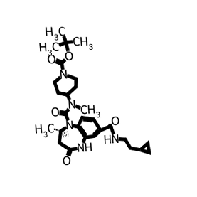 C[C@H]1CC(=O)Nc2cc(C(=O)NCCC3CC3)ccc2N1C(=O)N(C)C1CCN(C(=O)OC(C)(C)C)CC1